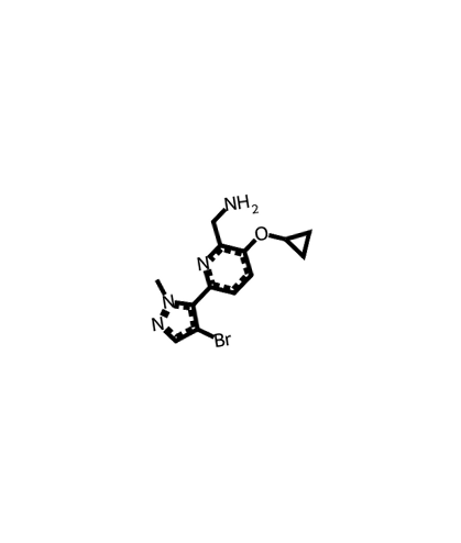 Cn1ncc(Br)c1-c1ccc(OC2CC2)c(CN)n1